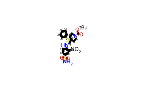 CC(C)(C)OC(=O)N1CCC(CNc2ccc(S(N)(=O)=O)cc2[N+](=O)[O-])(Sc2ccccc2)CC1